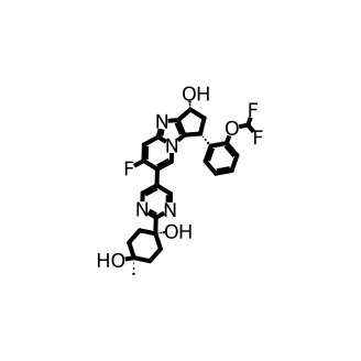 C[C@]1(O)CC[C@@](O)(c2ncc(-c3cn4c5c(nc4cc3F)[C@H](O)C[C@@H]5c3ccccc3OC(F)F)cn2)CC1